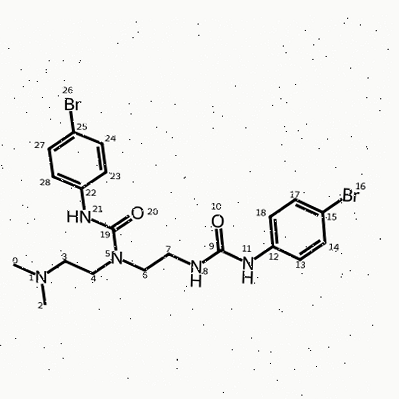 CN(C)CCN(CCNC(=O)Nc1ccc(Br)cc1)C(=O)Nc1ccc(Br)cc1